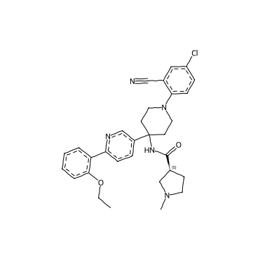 CCOc1ccccc1-c1ccc(C2(NC(=O)[C@H]3CCN(C)C3)CCN(c3ccc(Cl)cc3C#N)CC2)cn1